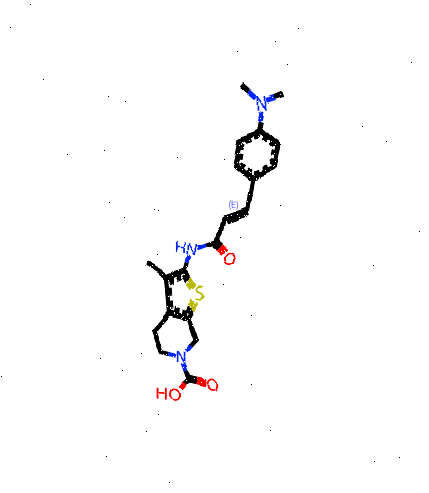 Cc1c(NC(=O)/C=C/c2ccc(N(C)C)cc2)sc2c1CCN(C(=O)O)C2